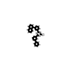 Clc1nc(-c2cccc(-c3ccccc3)c2)nc(-c2cccc(-c3cccc4ccccc34)c2)n1